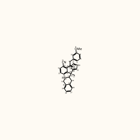 COc1cccc(CC(=O)c2c(C#N)cccc2[C@](C)(c2cnc[nH]2)C2Cc3ccccc3CN2)c1